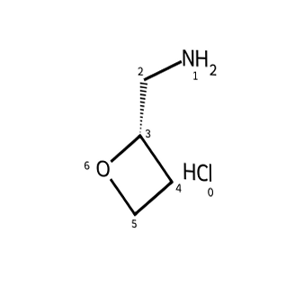 Cl.NC[C@@H]1CCO1